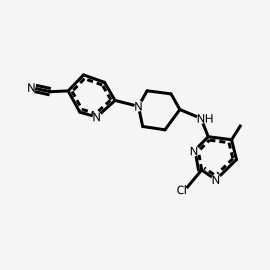 Cc1cnc(Cl)nc1NC1CCN(c2ccc(C#N)cn2)CC1